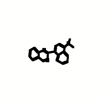 CN(C)c1ccc(-c2ncc3ccccc3n2)c2ccccc12